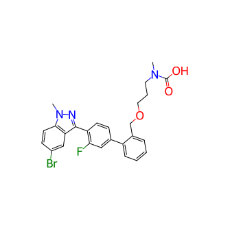 CN(CCCOCc1ccccc1-c1ccc(-c2nn(C)c3ccc(Br)cc23)c(F)c1)C(=O)O